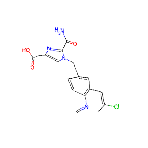 C=Nc1ccc(Cn2cc(C(=O)O)nc2C(N)=O)cc1/C=C(\C)Cl